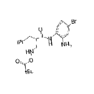 CC(C)CC(CNOC(=O)C(C)(C)C)C(=O)Nc1ccc(Br)cc1N